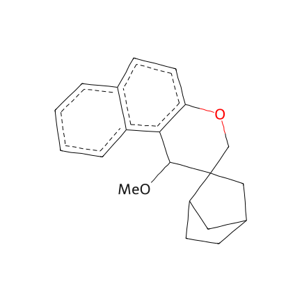 COC1c2c(ccc3ccccc23)OCC12CC1CCC2C1